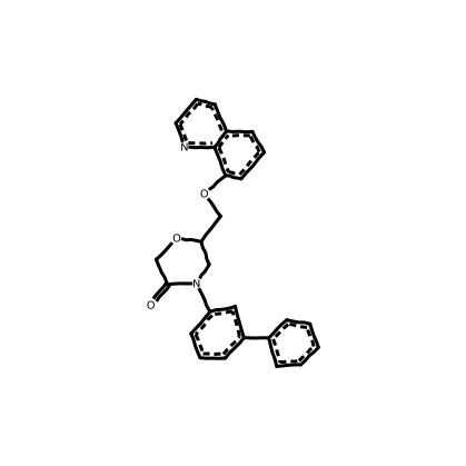 O=C1COC(COc2cccc3cccnc23)CN1c1cccc(-c2ccccc2)c1